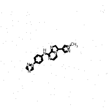 Cn1cc(C2CN=C3C(Nc4ccc(-n5cncn5)cc4)=NC=CN32)cn1